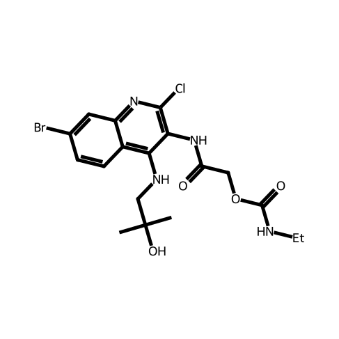 CCNC(=O)OCC(=O)Nc1c(Cl)nc2cc(Br)ccc2c1NCC(C)(C)O